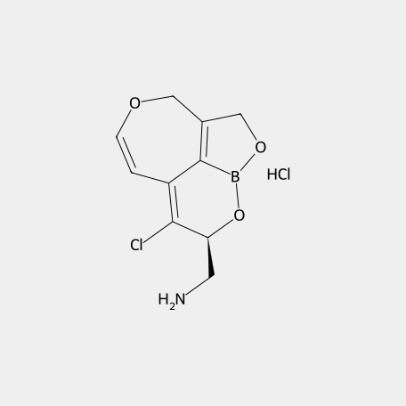 Cl.NC[C@@H]1OB2OCC3=C2C(=C1Cl)C=COC3